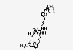 CN(C)Cc1ccc(CSCCNC(=NS(C)(=O)=O)NCCSCc2ccc(CN(C)C)o2)o1